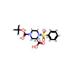 CC(C)(C)OC(=O)N1CCN(S(=O)(=O)c2ccccc2)[C@@H](C(=O)O)C1